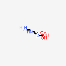 NCCNCCNCC(O)(O)O